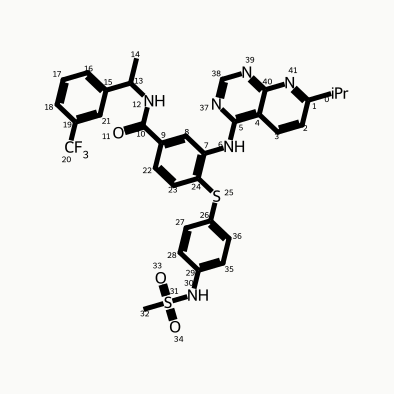 CC(C)c1ccc2c(Nc3cc(C(=O)NC(C)c4cccc(C(F)(F)F)c4)ccc3Sc3ccc(NS(C)(=O)=O)cc3)ncnc2n1